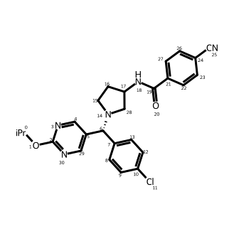 CC(C)Oc1ncc([C@@H](c2ccc(Cl)cc2)N2CCC(NC(=O)c3ccc(C#N)cc3)C2)cn1